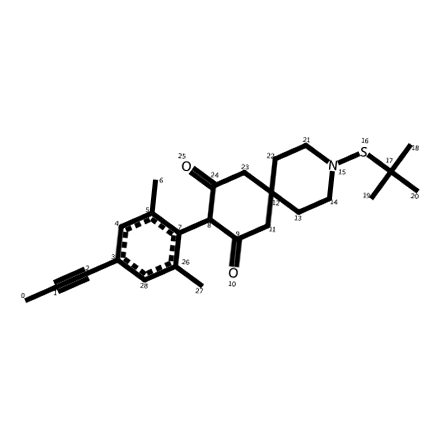 CC#Cc1cc(C)c(C2C(=O)CC3(CCN(SC(C)(C)C)CC3)CC2=O)c(C)c1